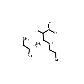 B.B.CCC(CNCCN)N(CC)CC.NCCS